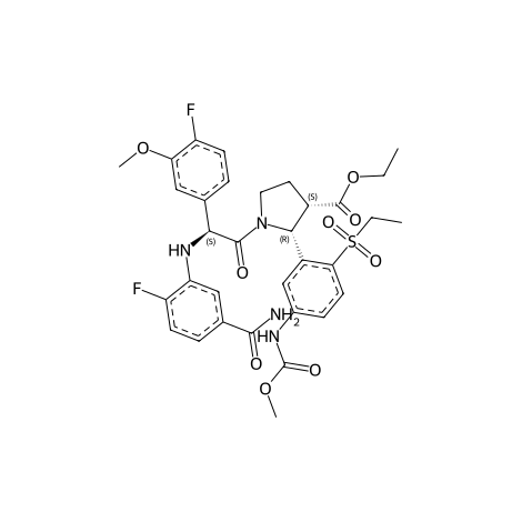 CCOC(=O)[C@H]1CCN(C(=O)[C@@H](Nc2cc(C(N)=O)ccc2F)c2ccc(F)c(OC)c2)[C@H]1c1cc(NC(=O)OC)ccc1S(=O)(=O)CC